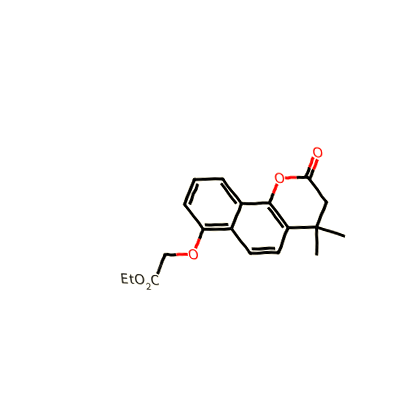 CCOC(=O)COc1cccc2c3c(ccc12)C(C)(C)CC(=O)O3